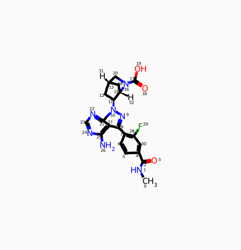 CNC(=O)c1ccc(-c2nn([C@H]3C[C@H]4C[C@@H]3N(C(=O)O)C4)c3ncnc(N)c23)c(F)c1